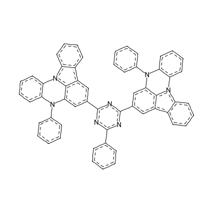 c1ccc(-c2nc(-c3cc4c5c(c3)c3ccccc3n5-c3ccccc3N4c3ccccc3)nc(-c3cc4c5c(c3)c3ccccc3n5-c3ccccc3N4c3ccccc3)n2)cc1